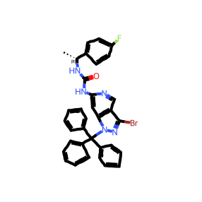 C[C@@H](NC(=O)Nc1cc2c(cn1)c(Br)nn2C(c1ccccc1)(c1ccccc1)c1ccccc1)c1ccc(F)cc1